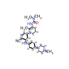 C[C@@H]1[C@H](NC(=O)N(C)C)CCCN1c1cnc(C#N)c(Nc2ccc(N3CCN(C)CC3)cc2)c1